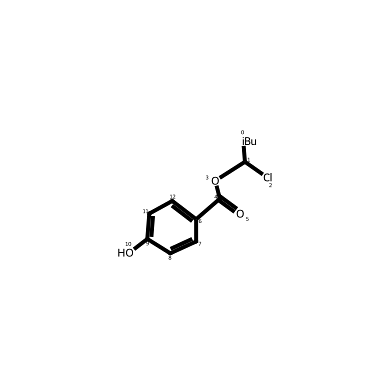 CCC(C)C(Cl)OC(=O)c1ccc(O)cc1